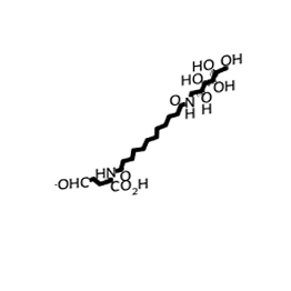 O=[C]CC[C@H](NC(=O)CCCCCCCCCCC(=O)NC[C@H](O)[C@@H](O)[C@H](O)[C@H](O)CO)C(=O)O